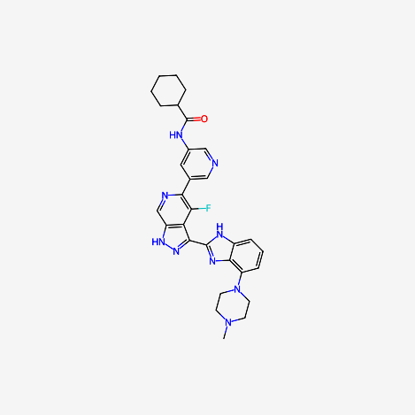 CN1CCN(c2cccc3[nH]c(-c4n[nH]c5cnc(-c6cncc(NC(=O)C7CCCCC7)c6)c(F)c45)nc23)CC1